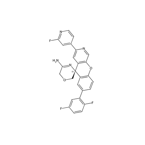 NC1=N[C@@]2(COC1)c1cc(-c3cc(F)ccc3F)ccc1Oc1cnc(-c3ccnc(F)c3)cc12